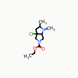 CCOC(=O)N1CC2N(C)C(C)CC2(Cl)C1